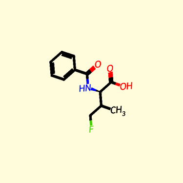 CC(CF)[C@@H](NC(=O)c1ccccc1)C(=O)O